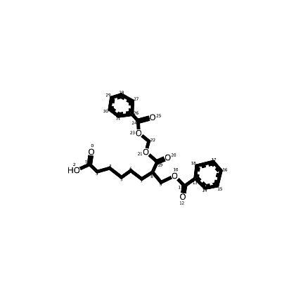 O=C(O)CCCCCC(COC(=O)c1ccccc1)C(=O)OCOC(=O)c1ccccc1